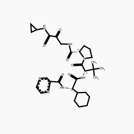 CC(C)(C)[C@H](NC(=O)[C@@H](NC(=O)c1cnccn1)C1CCCCC1)C(=O)N1CCC[C@H]1C(=O)NCC(=O)C(=O)NC1CC1